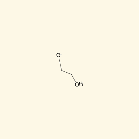 [O]CCO